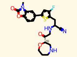 Cn1c(=O)oc2ccc(-c3cc(F)c(CC(C#N)NCC(=O)[C@@H]4CNCCCO4)s3)cc21